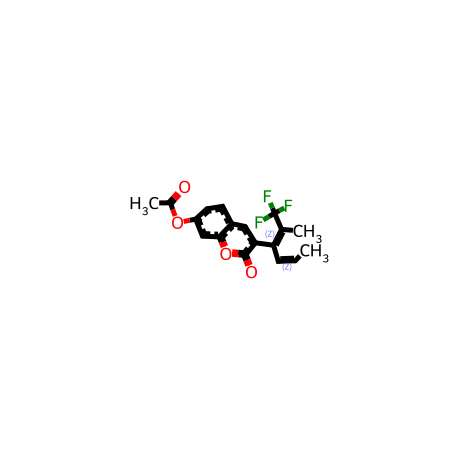 C/C=C\C(=C(/C)C(F)(F)F)c1cc2ccc(OC(C)=O)cc2oc1=O